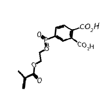 C=C(C)C(=O)OCCO[PH](=O)c1ccc(C(=O)O)c(C(=O)O)c1